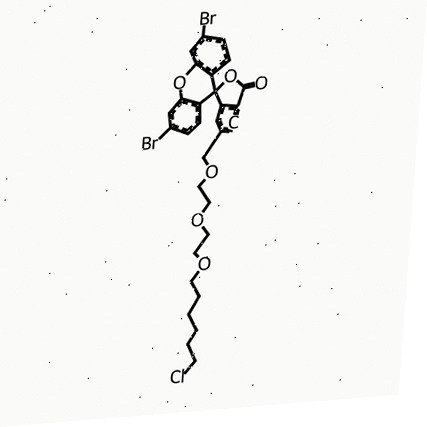 O=C1OC2(c3ccc(Br)cc3Oc3cc(Br)ccc32)c2cc(COCCOCCOCCCCCCCl)ccc21